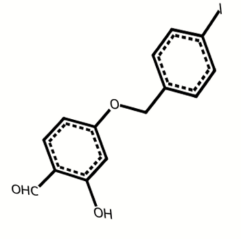 O=Cc1ccc(OCc2ccc(I)cc2)cc1O